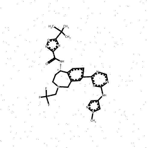 Cn1cc(Nc2ncnc(-c3ccc4c(c3)CN(CC(F)(F)F)CC[C@@H]4NC(=O)c3noc(C(C)(C)C)n3)n2)cn1